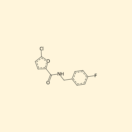 O=C(NCc1ccc(F)cc1)c1ccc(Cl)o1